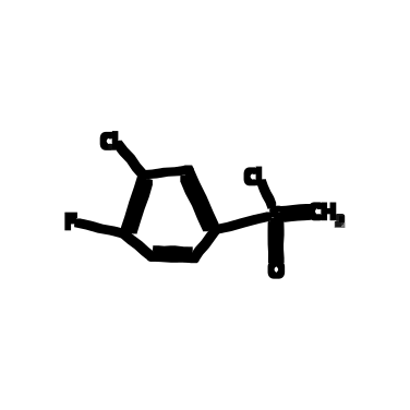 C=S(=O)(Cl)c1ccc(F)c(Cl)c1